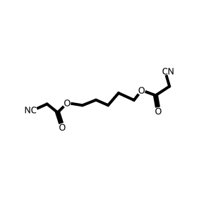 N#CCC(=O)OCCCCCOC(=O)CC#N